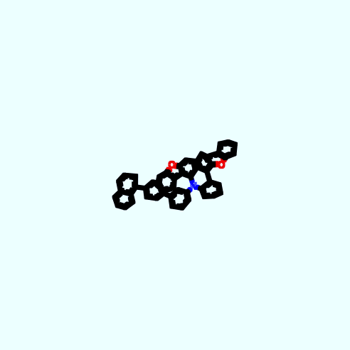 c1cc(-c2ccc(-c3cccc4ccccc34)cc2)cc(N(c2ccccc2-c2cccc3c2oc2ccccc23)c2cccc3oc4ccccc4c23)c1